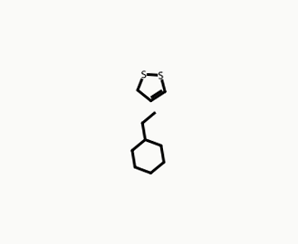 C1=CSSC1.CCC1CCCCC1